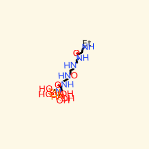 CCNCCC(=O)NCCNCCC(=O)NCCNC(=O)CN(C[PH](O)(O)O)C[PH](O)(O)O